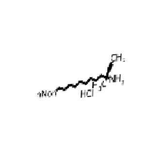 CC#CC(C)(N)CCCCCCCCCCCCCCCCCC.Cl